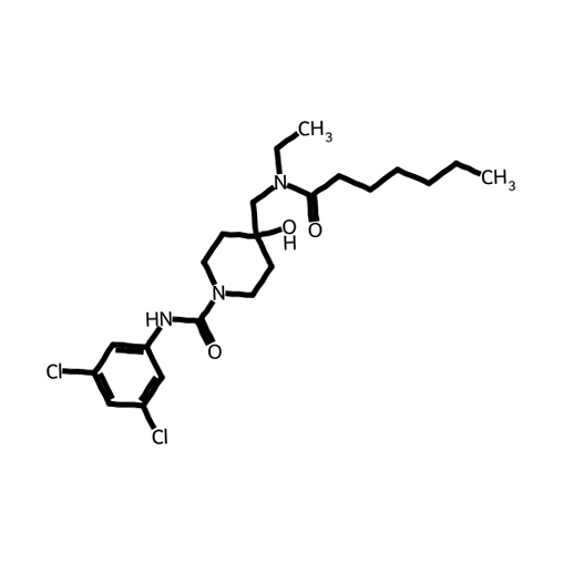 CCCCCCC(=O)N(CC)CC1(O)CCN(C(=O)Nc2cc(Cl)cc(Cl)c2)CC1